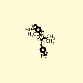 Cc1c(C(=O)N[C@H](C(=O)OCc2ccc(C(F)(F)F)cc2)C(C)C)ccc2c1B(O)OC2